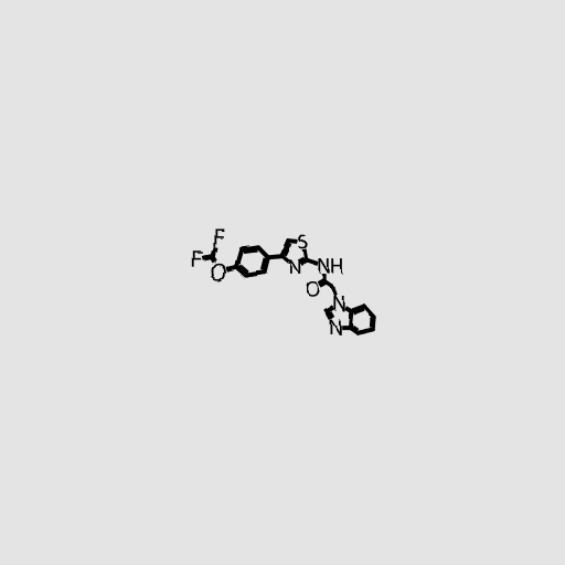 O=C(Cn1cnc2ccccc21)Nc1nc(-c2ccc(OC(F)F)cc2)cs1